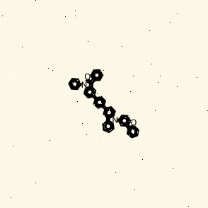 c1ccc(-n2c3ccc(-c4ccc(-c5ccc6c(c5)c5ccccc5n6-c5ccc6oc7ccccc7c6c5)cc4)cc3c3c4ccccc4oc32)cc1